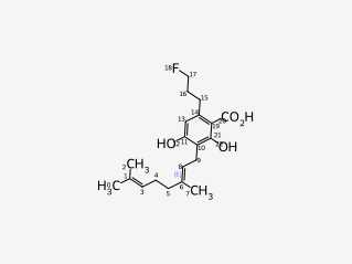 CC(C)=CCC/C(C)=C/Cc1c(O)cc(CCCF)c(C(=O)O)c1O